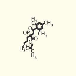 CCCCC(CC(=O)c1c(C)cc(C)cc1C)(P=O)C(=O)OCC(C)C